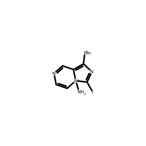 CC(C)(C)C1=C2C=NC=C[N+]2(N)C(I)=N1